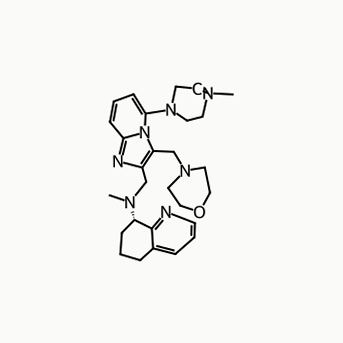 CN1CCN(c2cccc3nc(CN(C)[C@H]4CCCc5cccnc54)c(CN4CCOCC4)n23)CC1